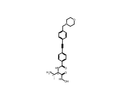 C[C@H](N)[C@@H](NC(=O)c1ccc(C#Cc2ccc(CN3CCOCC3)cc2)cc1)C(=O)NO